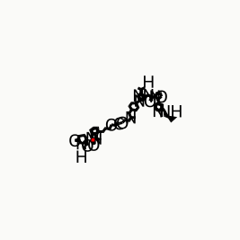 CC(C)c1nn(C2CCC(CN(C)CCOCCOCCCc3cccc4c3n(C)c(=O)n4C3CCC(=O)NC3=O)CC2)cc1NC(=O)N1C=COC1c1ccnc(NCC2CC2)c1